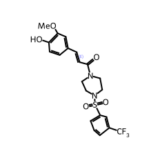 COc1cc(/C=C/C(=O)N2CCN(S(=O)(=O)c3cccc(C(F)(F)F)c3)CC2)ccc1O